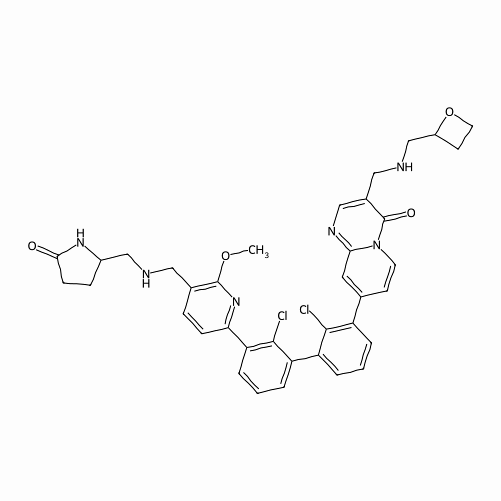 COc1nc(-c2cccc(-c3cccc(-c4ccn5c(=O)c(CNCC6CCO6)cnc5c4)c3Cl)c2Cl)ccc1CNCC1CCC(=O)N1